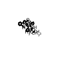 C[C@H](NC(=O)OC(C)(C)C)C(=O)N1CCC[C@@H]1CNC(=O)c1ccc(-c2ccccc2C#N)nc1NCCc1cccc(F)c1